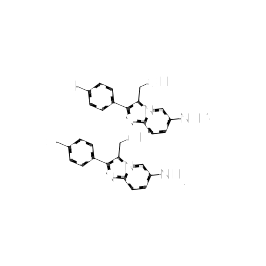 CC(=O)Nc1ccc2nc(-c3ccc(Cl)cc3)c(CO)n2c1.Nc1ccc2nc(-c3ccc(Cl)cc3)c(CO)n2c1